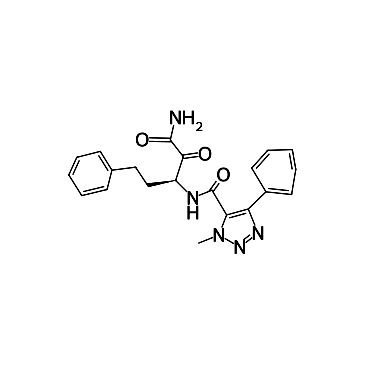 Cn1nnc(-c2ccccc2)c1C(=O)N[C@@H](CCc1ccccc1)C(=O)C(N)=O